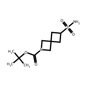 CC(C)(C)OC(=O)N1CC2(CC(S(N)(=O)=O)C2)C1